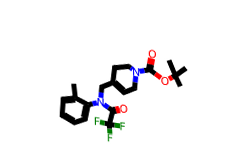 Cc1ccccc1N(CC1=CCN(C(=O)OC(C)(C)C)CC1)C(=O)C(F)(F)F